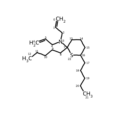 C=CCN(CC=C)C1(CCCCC)CCCC(CCCCC)S1